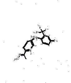 C/C(=N\O)c1ccc(Nc2ccc(F)cc2C(F)(F)F)cn1